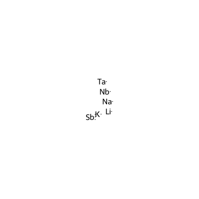 [K].[Li].[Na].[Nb].[Sb].[Ta]